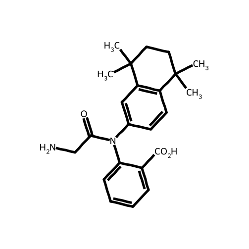 CC1(C)CCC(C)(C)c2cc(N(C(=O)CN)c3ccccc3C(=O)O)ccc21